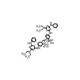 CCN(CC)c1nc(Nc2ccccc2)nc(Nc2ccc(C=Cc3ccc(Nc4nc(Nc5ccccc5)nc(N(CC)CC)n4)cc3S(=O)(=O)O)c(S(=O)(=O)O)c2)n1